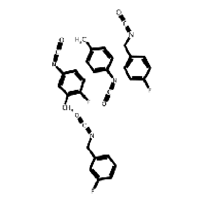 Cc1cc(N=C=O)ccc1F.Cc1ccc(N=C=O)cc1.O=C=NCc1ccc(F)cc1.O=C=NCc1cccc(F)c1